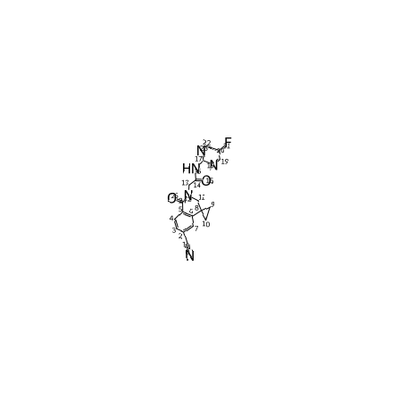 N#Cc1ccc2c(c1)C1(CC1)CN(CC(=O)Nc1ncc(F)cn1)C2=O